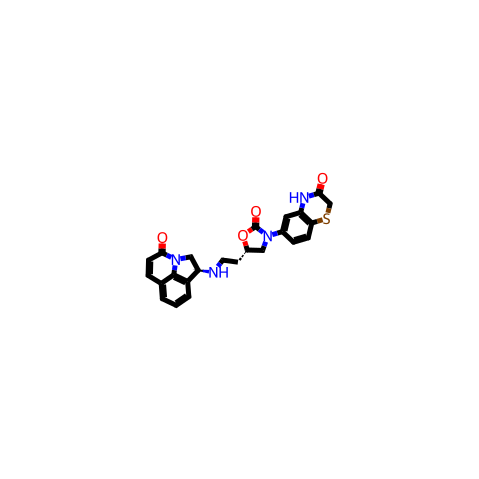 O=C1CSc2ccc(N3C[C@H](CCN[C@@H]4Cn5c(=O)ccc6cccc4c65)OC3=O)cc2N1